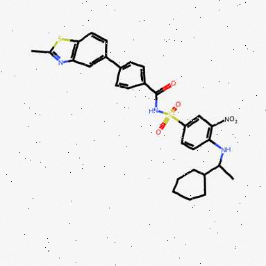 Cc1nc2cc(-c3ccc(C(=O)NS(=O)(=O)c4ccc(NC(C)C5CCCCC5)c([N+](=O)[O-])c4)cc3)ccc2s1